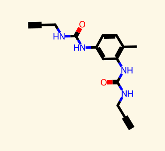 C#CCNC(=O)Nc1ccc(C)c(NC(=O)NCC#C)c1